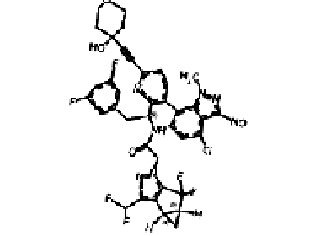 Cn1nc(N=O)c2c(Cl)ccc(-c3ccc(C#CC4(O)CCOCC4)nc3[C@H](Cc3cc(F)cc(F)c3)NC(=O)Cn3nc(C(F)F)c4c3C(F)(F)[C@@H]3C[C@H]43)c21